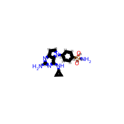 Nc1nc(NC2CC2)c2c(ccn2-c2ccc(S(N)(=O)=O)cc2)n1